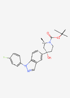 C[C@@H]1CC(O)(c2ccc3c(cnn3-c3ccc(F)cc3)c2)CCN1C(=O)OC(C)(C)C